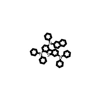 c1ccc(N(c2ccccc2)c2ccc3c(c2)sc2c(N(c4ccccc4)c4ccccc4)ccc(N(c4ccccc4)c4ccc5ccccc5c4)c23)cc1